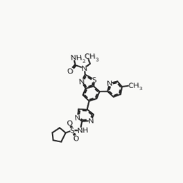 CCN(C(N)=O)c1nc2cc(-c3cnc(NS(=O)(=O)C4CCCC4)nc3)cc(-c3ccc(C)cn3)c2s1